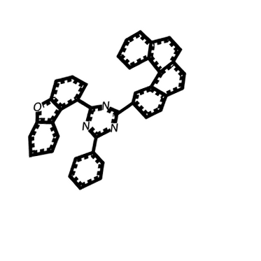 c1ccc(-c2nc(-c3ccc4ccc5ccc6ccccc6c5c4c3)nc(-c3cccc4oc5ccccc5c34)n2)cc1